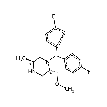 COC[C@@H]1CN[C@@H](C)CN1C(c1ccc(F)cc1)c1ccc(F)cc1